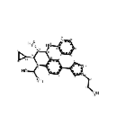 CC(O)N1c2ccc(-c3cnn(CCO)c3)cc2[C@H](Nc2ccccn2)[C@@H](C)[C@@H]1C1CC1